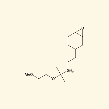 COCCOC(C)(C)[SiH2]CCC1CCC2OC2C1